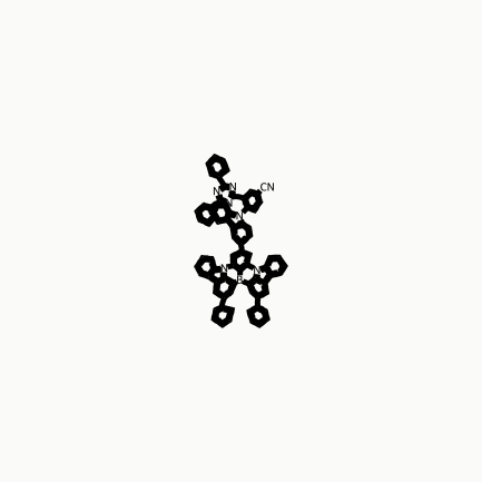 N#Cc1ccc(-n2c3ccccc3c3cc(-c4cc5c6c(c4)-n4c7ccccc7c7cc(-c8ccccc8)cc(c74)B6c4cc(-c6ccccc6)cc6c7ccccc7n-5c46)ccc32)c(-c2nc(-c3ccccc3)nc(-c3ccccc3)n2)c1